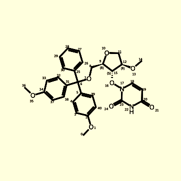 COc1ccc(C(OC[C@H]2O[CH][C@@H](OC)[C@@H]2On2ccc(=O)[nH]c2=O)(c2ccccc2)c2ccc(OC)cc2)cc1